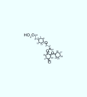 C[C@H](CCOc1ccc(CCC(=O)O)cc1)Oc1ccc(Cl)cc1Oc1ccccc1